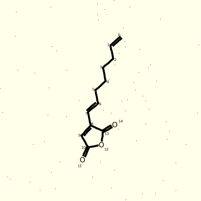 C=CCCCCC=CC1=CC(=O)OC1=O